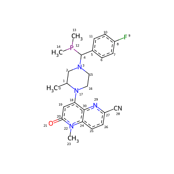 CC1CN(C(c2ccc(F)cc2)P(C)C)CCN1c1cc(=O)n(C)c2ccc(C#N)nc12